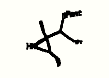 CCCCCC(C(C)C)C1(C)NC1C